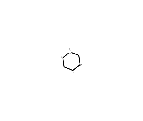 [C]1CC[CH]OC1